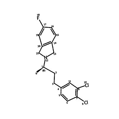 C[C@H](CCc1ccc(Cl)c(Cl)c1)N1Cc2ccc(F)cc2C1